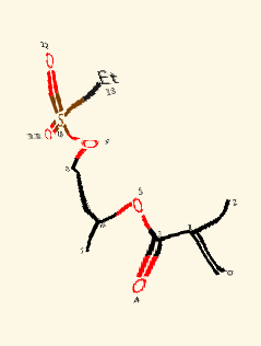 C=C(C)C(=O)OC(C)COS(=O)(=O)CC